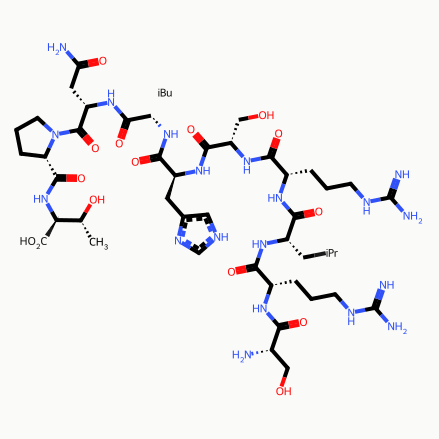 CC[C@H](C)[C@H](NC(=O)[C@H](Cc1c[nH]cn1)NC(=O)[C@H](CO)NC(=O)[C@H](CCCNC(=N)N)NC(=O)[C@H](CC(C)C)NC(=O)[C@H](CCCNC(=N)N)NC(=O)[C@@H](N)CO)C(=O)N[C@@H](CC(N)=O)C(=O)N1CCC[C@H]1C(=O)N[C@H](C(=O)O)[C@@H](C)O